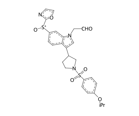 CC(C)Oc1ccc(S(=O)(=O)N2CCC(c3cn(CC=O)c4cc([S+]([O-])c5ncco5)ccc34)C2)cc1